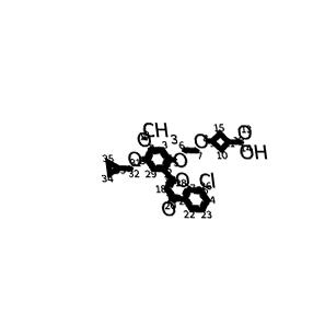 COc1cc(OCCOC2CC(C(=O)O)C2)c(-c2cc(=O)c3cccc(Cl)c3o2)cc1OCC1CC1